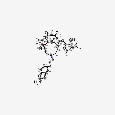 CC[C@H]1OC(=O)[C@H](C)C(=O)[C@H](C)[C@@H](O[C@@H]2O[C@H](C)C[C@H](N(C)C)[C@H]2O)[C@]2(C)CC/C(=N/OCc3ccc4oc(N)nc4c3)CC[C@H]([C@@H](C)C(=O)[C@H](C)C2)[C@]1(C)O